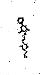 O=C1CC(c2ccccn2)CC(=O)C1=CNCCN1CCN(CCO)CC1